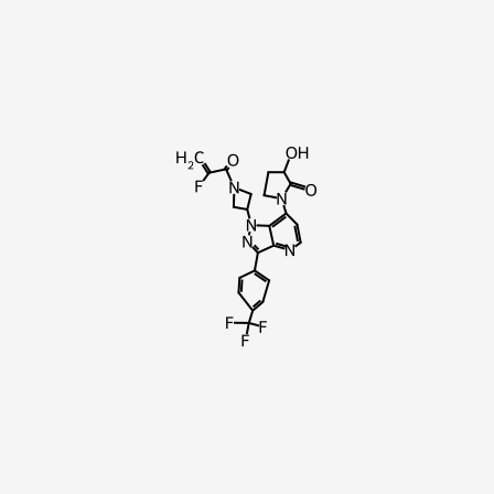 C=C(F)C(=O)N1CC(n2nc(-c3ccc(C(F)(F)F)cc3)c3nccc(N4CCC(O)C4=O)c32)C1